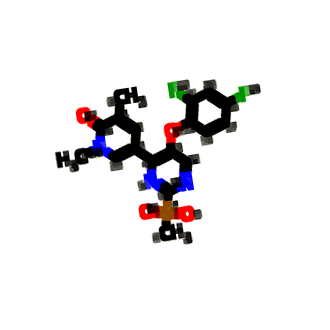 Cc1cc(-c2nc(S(C)(=O)=O)ncc2Oc2ccc(F)cc2F)cn(C)c1=O